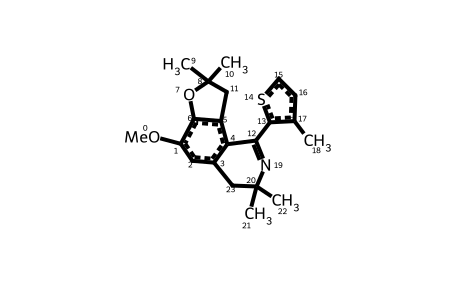 COc1cc2c(c3c1OC(C)(C)C3)C(c1sccc1C)=NC(C)(C)C2